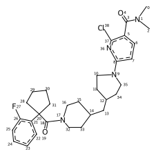 CN(C)C(=O)c1ccc(N2CCC(CC3CCN(C(=O)C4(c5ccccc5F)CCCC4)CC3)CC2)nc1Cl